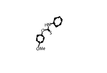 COc1ccc(OC(=S)Nc2ccccc2)cc1